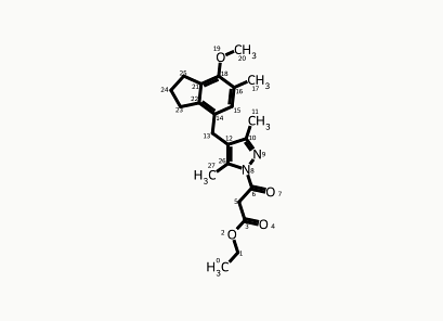 CCOC(=O)CC(=O)n1nc(C)c(Cc2cc(C)c(OC)c3c2CCC3)c1C